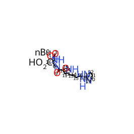 CCCCOC(=O)NC(CNC(=O)C1CC(CCCCNC2N=CCCN2)NO1)C(=O)O